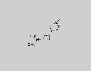 Cc1ccc(NCCN(N)C=O)cc1